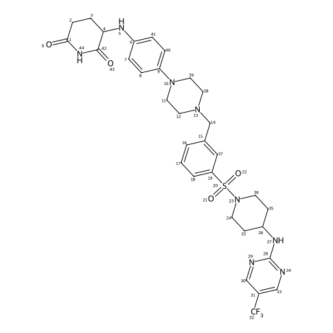 O=C1CCC(Nc2ccc(N3CCN(Cc4cccc(S(=O)(=O)N5CCC(Nc6ncc(C(F)(F)F)cn6)CC5)c4)CC3)cc2)C(=O)N1